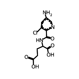 Nc1cnc(C(=O)NC(CCC(=O)O)C(=O)O)c(Cl)c1